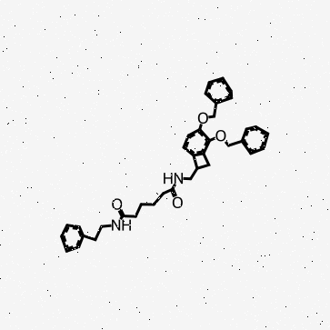 O=C(CCCCC(=O)NCC1Cc2c1ccc(OCc1ccccc1)c2OCc1ccccc1)NCCc1ccccc1